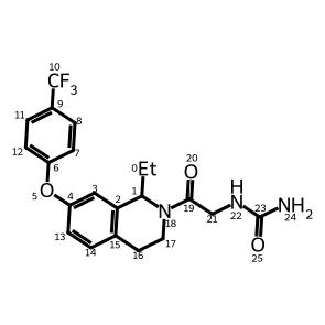 CCC1c2cc(Oc3ccc(C(F)(F)F)cc3)ccc2CCN1C(=O)CNC(N)=O